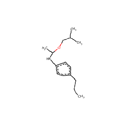 CCCc1ccc(BC(C)OCC(C)C)cc1